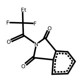 CCC(F)(F)C(=O)N1C(=O)c2ccccc2C1=O